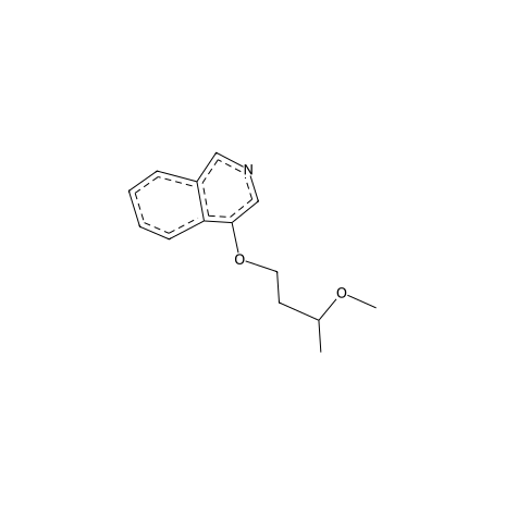 COC(C)CCOc1cncc2ccccc12